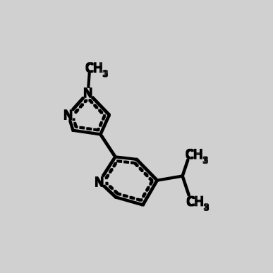 CC(C)c1ccnc(-c2cnn(C)c2)c1